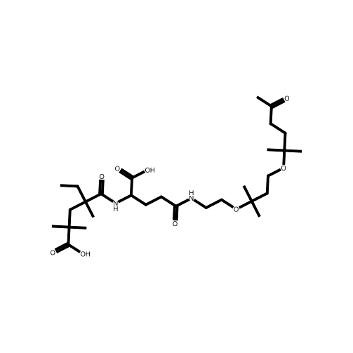 CCC(C)(CC(C)(C)C(=O)O)C(=O)NC(CCC(=O)NCCOC(C)(C)CCOC(C)(C)CCC(C)=O)C(=O)O